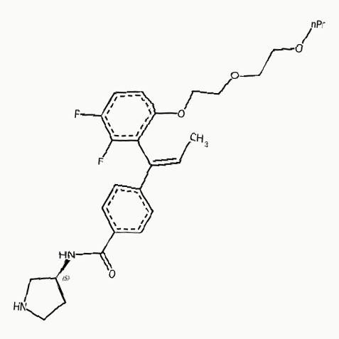 CC=C(c1ccc(C(=O)N[C@H]2CCNC2)cc1)c1c(OCCOCCOCCC)ccc(F)c1F